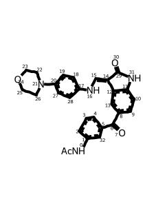 CC(=O)Nc1cccc(C(=O)c2ccc3c(c2)/C(=C\Nc2ccc(N4CCOCC4)cc2)C(=O)N3)c1